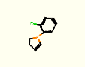 Clc1ccccc1P1C=CCC1